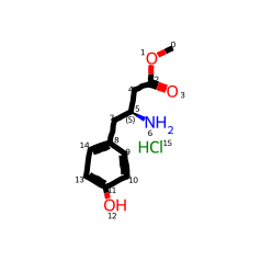 COC(=O)C[C@@H](N)Cc1ccc(O)cc1.Cl